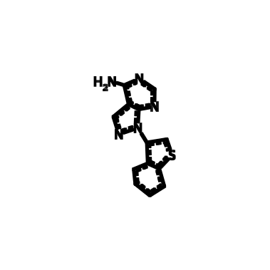 Nc1ncnc2c1cnn2-c1csc2ccccc12